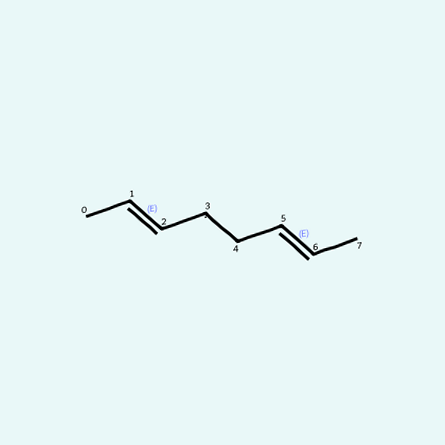 C/C=C/[CH]C/C=C/C